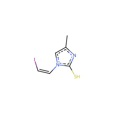 Cc1cn(/C=C\I)c(S)n1